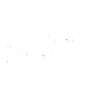 O=S(=O)(NCCC1=CC=CC(S(=O)(=O)O)C1(C(F)(F)F)C(F)(F)F)c1ccccc1